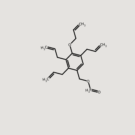 C=CCOc1c(CC=C)cc(CO[PH2]=O)c(CC=C)c1CC=C